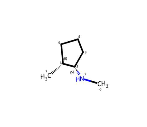 CN[C@H]1CCC[C@H]1C